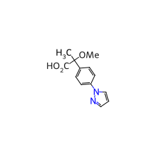 COC(C)(C(=O)O)c1ccc(-n2cccn2)cc1